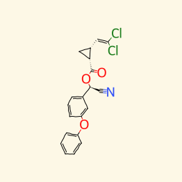 N#C[C@H](OC(=O)[C@@H]1C[C@@H]1C=C(Cl)Cl)c1cccc(Oc2ccccc2)c1